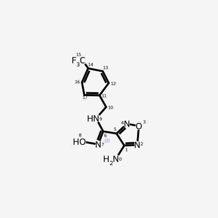 Nc1nonc1/C(=N/O)NCc1ccc(C(F)(F)F)cc1